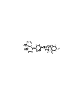 CC(C)(CNc1ccc(C2=CC(C(N)=O)NCC2)nn1)c1ccc(F)cc1